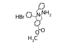 Br.CCOC(=O)c1ccc2c(c1)CC(N)N(Cc1ccccc1)C2c1ccccc1